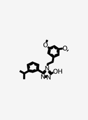 COc1cc(CCn2c(O)nnc2-c2cccc(C(C)C)c2)cc(OC)c1